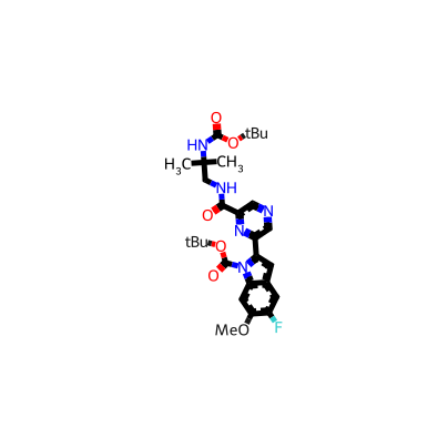 COc1cc2c(cc1F)cc(-c1cncc(C(=O)NCC(C)(C)NC(=O)OC(C)(C)C)n1)n2C(=O)OC(C)(C)C